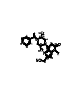 CC[C@H]1CN(C(C)c2ccncc2)[C@H](CC)CN1c1cc(=O)n(C)n2cc(CC#N)nc12